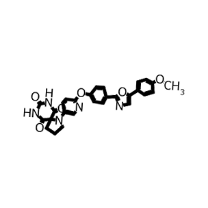 COc1ccc(-c2cnc(-c3ccc(Oc4ccc(N5CCCC56C(=O)NC(=O)NC6=O)cn4)cc3)o2)cc1